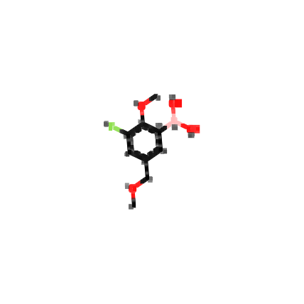 COCc1cc(F)c(OC)c(B(O)O)c1